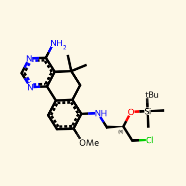 COc1ccc2c(c1NC[C@H](CCl)O[Si](C)(C)C(C)(C)C)CC(C)(C)c1c(N)ncnc1-2